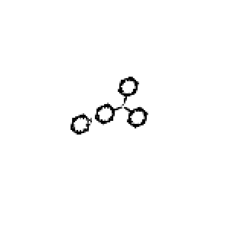 c1ccc(N(c2ccccc2)c2ccccc2)cc1.c1ccncc1